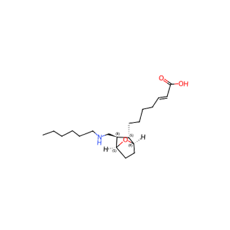 CCCCCCNC[C@H]1[C@H](CCCCC=CC(=O)O)[C@H]2CC[C@@H]1O2